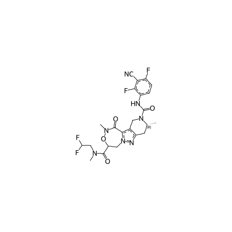 C[C@@H]1Cc2nn3c(c2CN1C(=O)Nc1ccc(F)c(C#N)c1F)C(=O)N(C)OC(C(=O)N(C)CC(F)F)C3